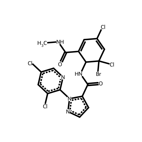 CNC(=O)C1=CC(Cl)=CC(Cl)(Br)C1NC(=O)c1ccnn1-c1ncc(Cl)cc1Cl